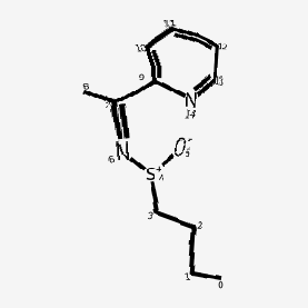 CCCC[S+]([O-])/N=C(/C)c1ccccn1